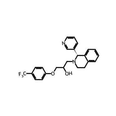 OC(COc1ccc(C(F)(F)F)cc1)CN1CCc2ccccc2[C@H]1c1cccnc1